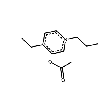 CC(=O)[O-].CCC[n+]1ccc(CC)cc1